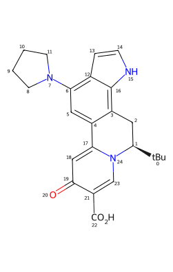 CC(C)(C)[C@@H]1Cc2c(cc(N3CCCC3)c3cc[nH]c23)-c2cc(=O)c(C(=O)O)cn21